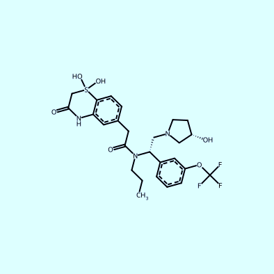 CCCN(C(=O)Cc1ccc2c(c1)NC(=O)CS2(O)O)[C@H](CN1CC[C@H](O)C1)c1cccc(OC(F)(F)F)c1